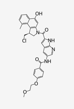 COCCOc1ccc(C(=O)Nc2cnc3[nH]c(C(=O)N4C[C@@H](CCl)c5c4cc(O)c4cccc(C)c54)cc3c2)cc1